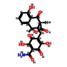 C[C@@]12OC(=O)[C@@H](C(=O)c3c(O)cccc31)C2CC1=C(O)C(=O)C(C(N)=O)=C(O)C1=O